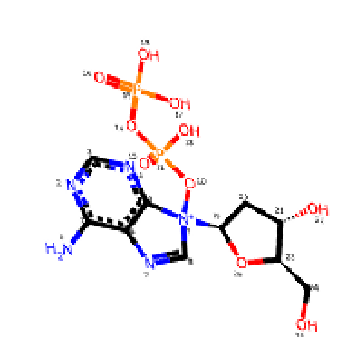 Nc1ncnc2c1N=C[N+]2(OP(=O)(O)OP(=O)(O)O)[C@H]1C[C@H](O)[C@@H](CO)O1